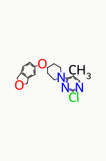 Cc1cnc(Cl)nc1N1CCC(Oc2ccc3c(c2)COC3)CC1